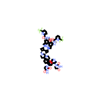 COc1cc2nn([C@@H]3C[C@@H](CN4CCC(c5ccc6c(N7CCC(=O)NC7=O)cncc6c5)CC4)C3C3[C@@H](CN4CCC(c5cccc6c(N7CCC(=O)NC7=O)cncc56)CC4)C[C@@H]3n3cc4cc(NC(=O)c5cccc(C(F)(F)F)n5)c(OC)cc4n3)cc2cc1NC(=O)c1cccc(C(F)(F)F)n1